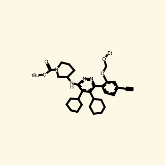 C#Cc1ccc(-c2nnc(NC3CCCN(C(=O)OC(C)(C)C)C3)c(C3CCCCC3)c2C2CCCCC2)c(OCOCC)c1